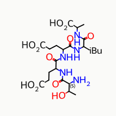 CCC(C)C(NC(=O)C(CCC(=O)O)NC(=O)C(CCC(=O)O)NC(=O)[C@@H](N)C(C)O)C(=O)NC(C)C(=O)O